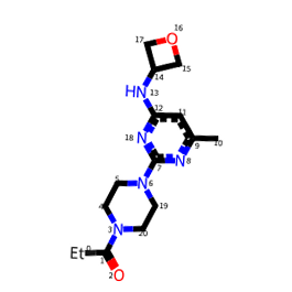 CCC(=O)N1CCN(c2nc(C)cc(NC3COC3)n2)CC1